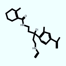 C=CNCCC(CC)(CCNC(=O)C1=C(C)CCCC1)c1ccc(C(=C)C)cc1C